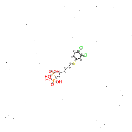 O=P(O)(O)C(CCCCCCSc1ccc(Cl)c(Cl)c1)P(=O)(O)O